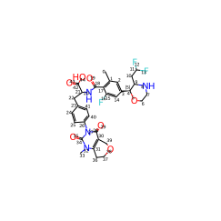 Cc1cc([C@@H]2OCCNC2CC(F)F)cc(F)c1C(=O)NC(Cc1ccc(-n2c(=O)c3c(n(C)c2=O)CCOC3)cc1)C(=O)O